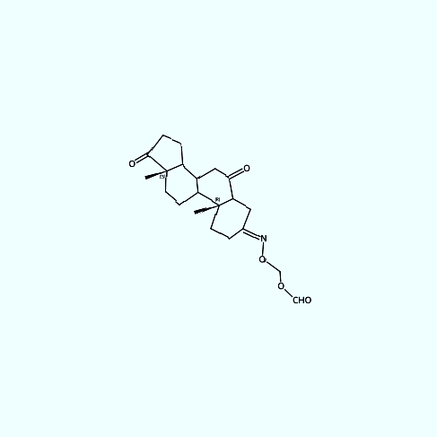 C[C@]12CCC(=NOCOC=O)CC1C(=O)CC1C2CC[C@]2(C)C(=O)CCC12